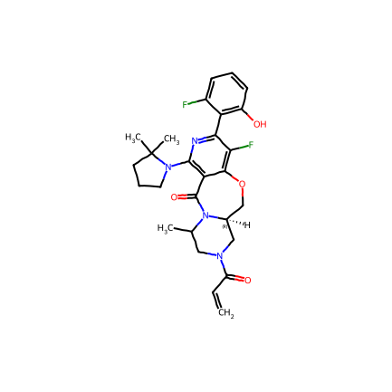 C=CC(=O)N1CC(C)N2C(=O)c3c(N4CCCC4(C)C)nc(-c4c(O)cccc4F)c(F)c3OC[C@H]2C1